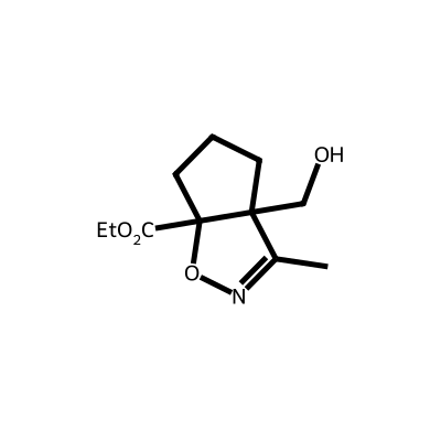 CCOC(=O)C12CCCC1(CO)C(C)=NO2